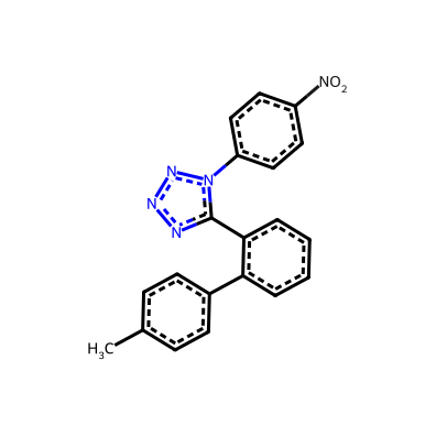 Cc1ccc(-c2ccccc2-c2nnnn2-c2ccc([N+](=O)[O-])cc2)cc1